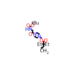 C=CCC(CC)(CC)C(=O)OCN1CCN(C(=O)CNC(=O)OC(C)(C)C)CC1